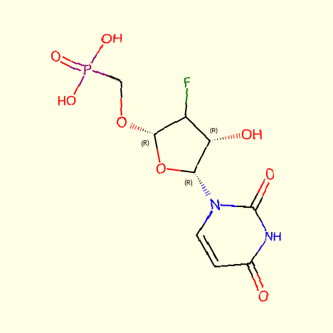 O=c1ccn([C@@H]2O[C@H](OCP(=O)(O)O)C(F)[C@@H]2O)c(=O)[nH]1